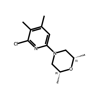 Cc1cc(N2C[C@@H](C)O[C@@H](C)C2)nc(Cl)c1C